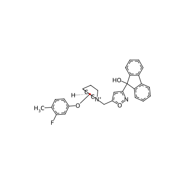 Cc1ccc(O[C@H]2C[N+]3(Cc4cc(C5(O)c6ccccc6-c6ccccc65)no4)CCC2CC3)cc1F